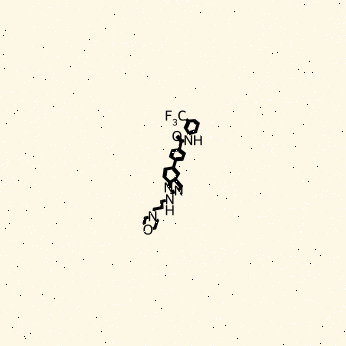 O=C(Nc1cccc(C(F)(F)F)c1)c1ccc(-c2ccc3nc(NCCCN4CCOCC4)ncc3c2)cc1